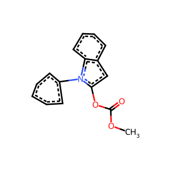 COC(=O)Oc1cc2ccccc2n1-c1ccccc1